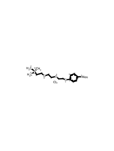 CCCCCCCCCc1ccc(OCCOCCOCC[N+](C)(C)C)cc1.[Cl-]